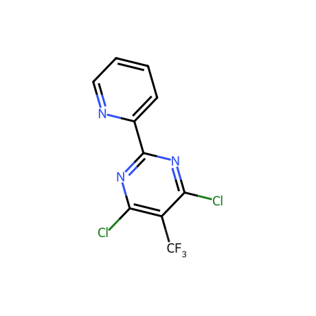 FC(F)(F)c1c(Cl)nc(-c2ccccn2)nc1Cl